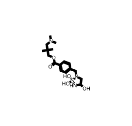 CN(C)CC(C)(C)COC(=O)c1ccc(CN2CC(O)NS2(O)O)cc1